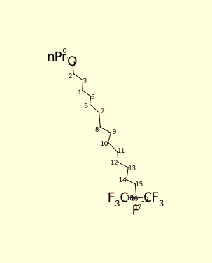 CCCOCCCCCCCCCCCCCCC(F)(C(F)(F)F)C(F)(F)F